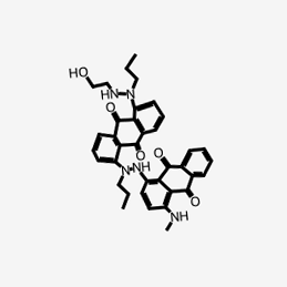 CCCN(NCCO)c1cccc2c1C(=O)c1cccc(N(CCC)Nc3ccc(NC)c4c3C(=O)c3ccccc3C4=O)c1C2=O